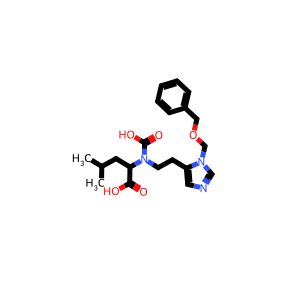 CC(C)CC(C(=O)O)N(CCc1cncn1COCc1ccccc1)C(=O)O